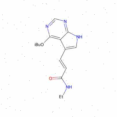 CCNC(=O)C=Cc1c[nH]c2ncnc(OCC(C)C)c12